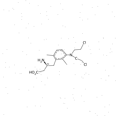 Cc1ccc(N(CCCl)CCCl)c(C)c1C[C@H](N)CC(=O)O